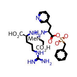 CNCC(=O)O.N=C(N)NCCC[C@H](N)C(=O)O.N[C@@H](Cc1cccnc1)C(=O)OS(=O)(=O)Cc1ccccc1